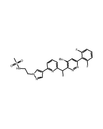 CC[C@H](C)c1cc(-c2c(F)cccc2F)nnc1C(C)c1cccc(-c2cnn(CCNS(C)(=O)=O)c2)n1